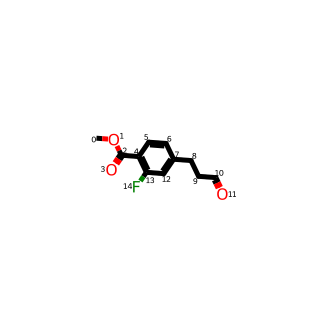 COC(=O)c1ccc(CCC=O)cc1F